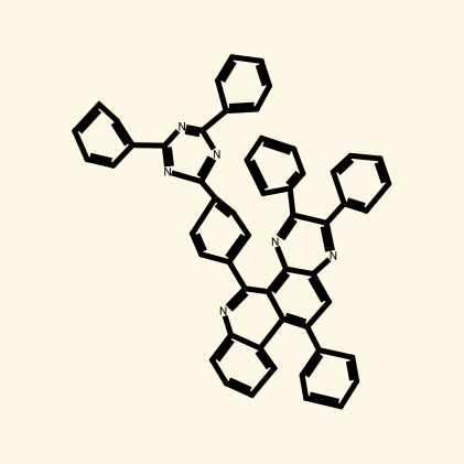 c1ccc(-c2nc(-c3ccccc3)nc(-c3ccc(-c4nc5ccccc5c5c(-c6ccccc6)cc6nc(-c7ccccc7)c(-c7ccccc7)nc6c45)cc3)n2)cc1